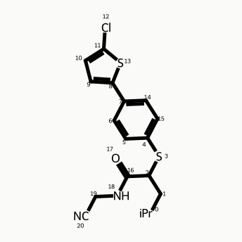 CC(C)CC(Sc1ccc(-c2ccc(Cl)s2)cc1)C(=O)NCC#N